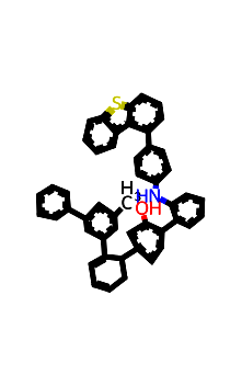 Cc1cc(C2=CC=CCC2c2ccc(-c3ccccc3Nc3ccc(-c4cccc5sc6ccccc6c45)cc3)c(O)c2)cc(-c2ccccc2)c1